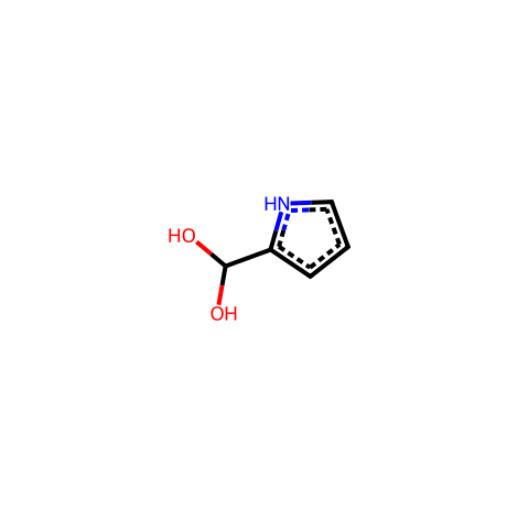 OC(O)c1ccc[nH]1